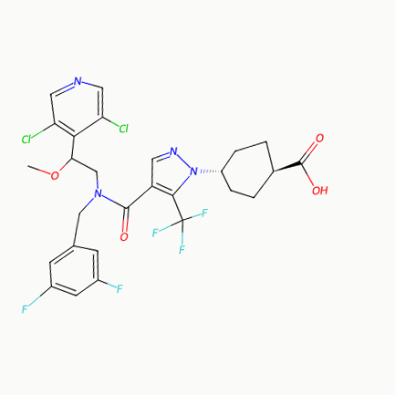 COC(CN(Cc1cc(F)cc(F)c1)C(=O)c1cnn([C@H]2CC[C@H](C(=O)O)CC2)c1C(F)(F)F)c1c(Cl)cncc1Cl